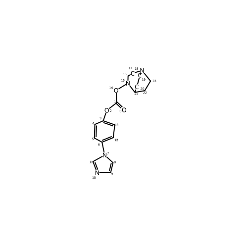 O=C(Oc1ccc(-n2ccnc2)cc1)ON1CCN2CCC1CC2